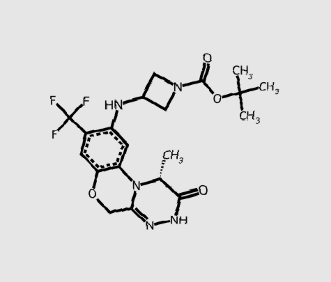 C[C@@H]1C(=O)NN=C2COc3cc(C(F)(F)F)c(NC4CN(C(=O)OC(C)(C)C)C4)cc3N21